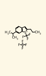 CCCc1cc2ccc(C(C)C)cc2[s+]1C(F)(F)F.F[B-](F)(F)F